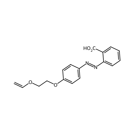 C=COCCOc1ccc(N=Nc2ccccc2C(=O)O)cc1